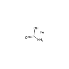 NC(=O)O.[Fe]